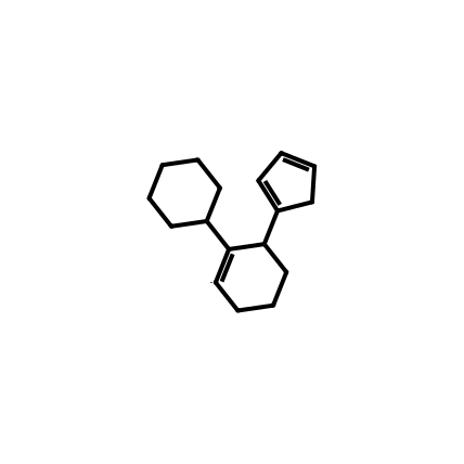 [C]1=C(C2CCCCC2)C(C2=CC=CC2)CCC1